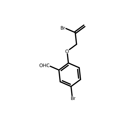 C=C(Br)COc1ccc(Br)cc1C=O